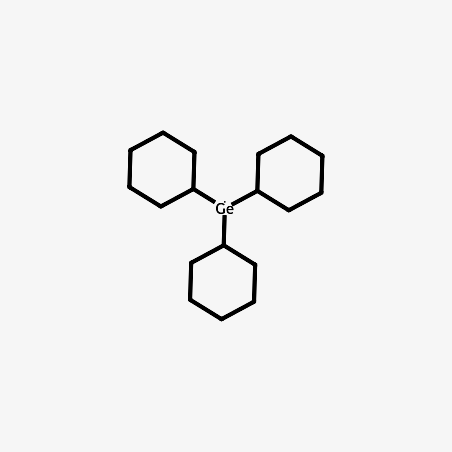 C1CC[CH]([Ge]([CH]2CCCCC2)[CH]2CCCCC2)CC1